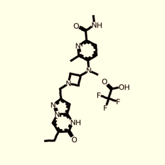 CCc1cn2nc(CN3CC(N(C)c4ccc(C(=O)NC)nc4C)C3)cc2[nH]c1=O.O=C(O)C(F)(F)F